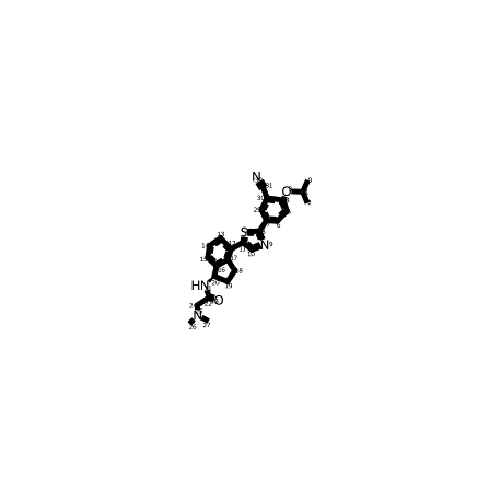 CC(C)Oc1ccc(-c2ncc(-c3cccc4c3CC[C@H]4NC(=O)CN(C)C)s2)cc1C#N